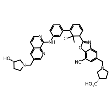 CC1(Cl)C(c2cccc(Nc3nccc4cc(CN5CC[C@@H](O)C5)cnc34)c2)=CC=CC1c1nc2cc(CN3CC[C@H](C(=O)O)C3)cc(C#N)c2o1